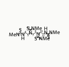 CNC(=S)NCCN(CCN(CCNC(=S)NC)C(=S)NC)C(=S)NC